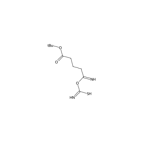 CC(C)(C)OC(=O)CCCC(=N)OC(=N)S